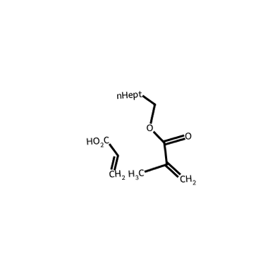 C=C(C)C(=O)OCCCCCCCC.C=CC(=O)O